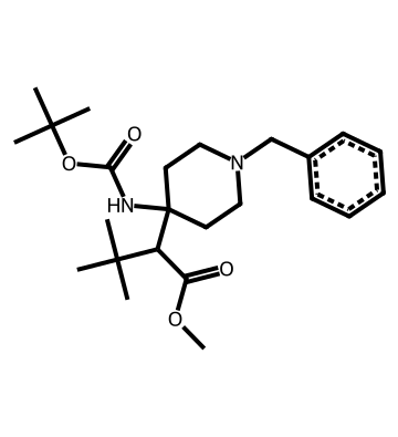 COC(=O)C(C(C)(C)C)C1(NC(=O)OC(C)(C)C)CCN(Cc2ccccc2)CC1